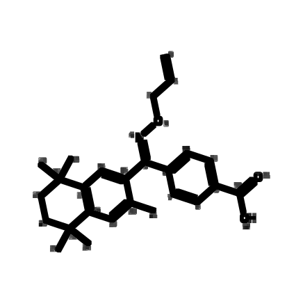 C=CCO/N=C(\c1ccc(C(=O)O)cc1)c1cc2c(cc1C)C(C)(C)CCC2(C)C